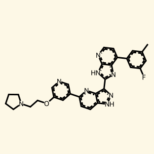 Cc1cc(F)cc(-c2ccnc3[nH]c(-c4n[nH]c5ccc(-c6cncc(OCCN7CCCC7)c6)nc45)nc23)c1